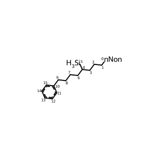 CCCCCCCCCCCCC([SiH3])CCCCc1ccccc1